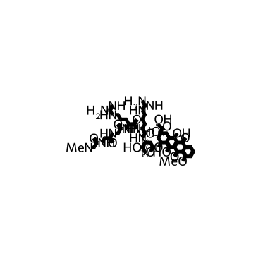 CNCC(=O)NCC(=O)NCC(=O)NC(CCCNC(=N)N)C(=O)NC(CCCNC(=N)N)C(=O)N[C@@H]1C[C@@H](OC2C[C@@](O)(C(=O)CO)Cc3c(O)c4c(c(O)c32)C(=O)c2c(OC)cccc2C4=O)O[C@H](C)[C@@H]1O